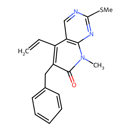 C=Cc1c(Cc2ccccc2)c(=O)n(C)c2nc(SC)ncc12